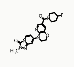 Cn1nc2cc(N3CCOc4cc(C(=O)N5CCC(F)CC5)cnc43)ccn2c1=O